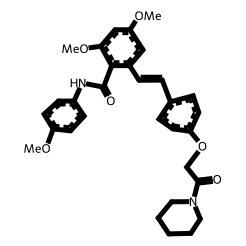 COc1ccc(NC(=O)c2c(C=Cc3ccc(OCC(=O)N4CCCCC4)cc3)cc(OC)cc2OC)cc1